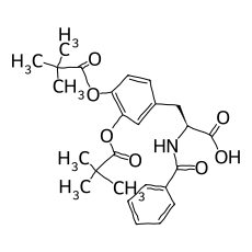 CC(C)(C)C(=O)Oc1ccc(C[C@H](NC(=O)c2ccccc2)C(=O)O)cc1OC(=O)C(C)(C)C